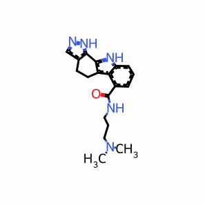 CN(C)CCCNC(=O)c1cccc2[nH]c3c(c12)CCc1cn[nH]c1-3